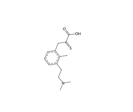 Cc1c(CCN(C)C)cccc1CC(=S)C(=O)O